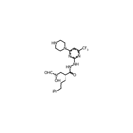 CC(C)CCC[C@H](CN(O)C=O)C(=O)NNc1nc(N2CCNCC2)cc(C(F)(F)F)n1